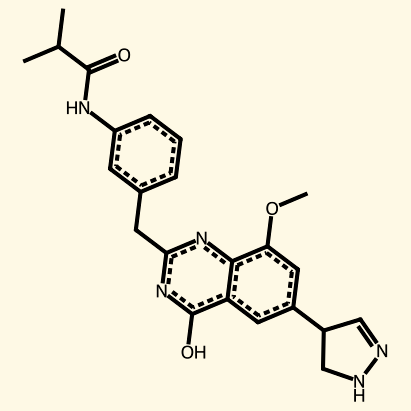 COc1cc(C2C=NNC2)cc2c(O)nc(Cc3cccc(NC(=O)C(C)C)c3)nc12